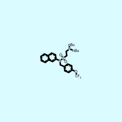 CCCCN(CCCC)CCS(=O)(=O)N(Cc1ccc(OC(F)(F)F)cc1)c1ccc2ccccc2c1